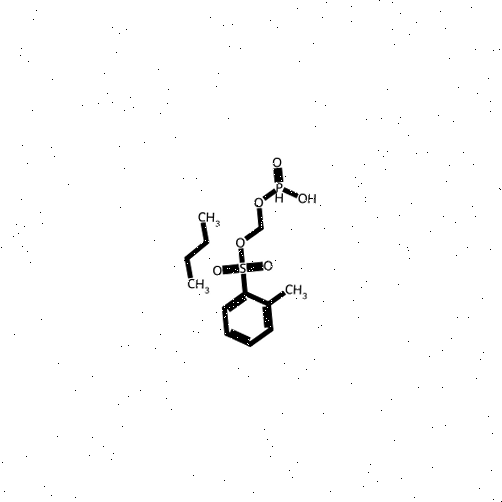 CCCC.Cc1ccccc1S(=O)(=O)OCO[PH](=O)O